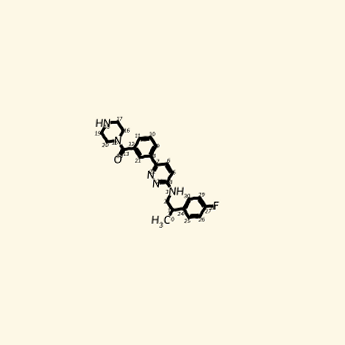 CC(CNc1ccc(-c2cccc(C(=O)N3CCNCC3)c2)nn1)c1ccc(F)cc1